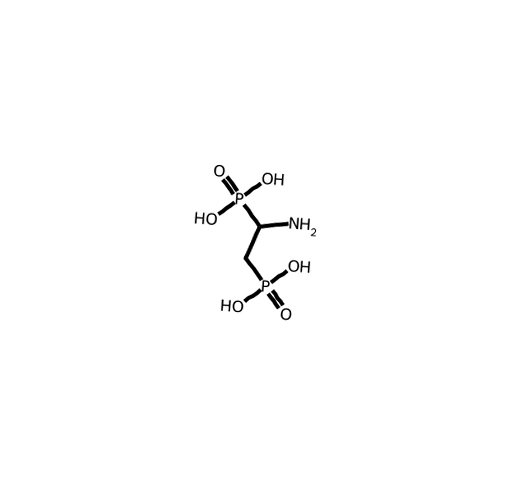 NC(CP(=O)(O)O)P(=O)(O)O